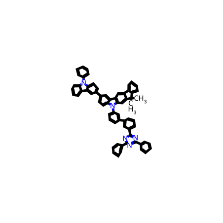 CC1(C)c2ccccc2-c2cc3c4cc(-c5ccc6c(c5)c5ccccc5n6-c5ccccc5)ccc4n(-c4cccc(-c5cccc(-c6nc(-c7ccccc7)nc(-c7ccccc7)n6)c5)c4)c3cc21